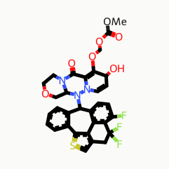 COC(=O)OCOC1=C2C(=O)N3CCOCC3N(C3c4ccccc4-c4scc5c4-c4c3ccc(F)c4C(F)(F)C5)N2C=CC1O